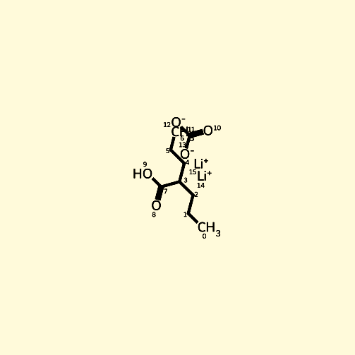 CCCC(CCC)C(=O)O.O=C([O-])[O-].[Li+].[Li+]